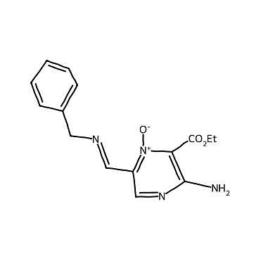 CCOC(=O)c1c(N)ncc(C=NCc2ccccc2)[n+]1[O-]